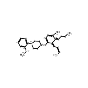 C\C=C/C=c1/c(CN2CCN(c3ccccc3OC)CC2)ccc(O)/c1=C\CCC